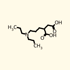 CCCN(CCC)CCCC(CC(=O)O)C(=O)O